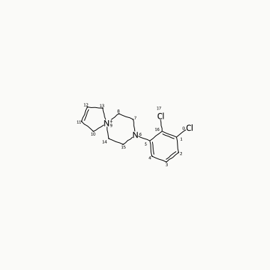 Clc1cccc(N2CC[N+]3(CC=CC3)CC2)c1Cl